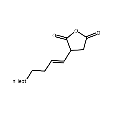 CCCCCCCCCC=CC1CC(=O)OC1=O